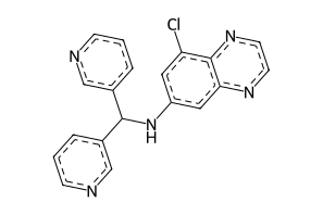 Clc1cc(NC(c2cccnc2)c2cccnc2)cc2nccnc12